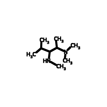 CNC(C(C)C)C(C)N(C)C